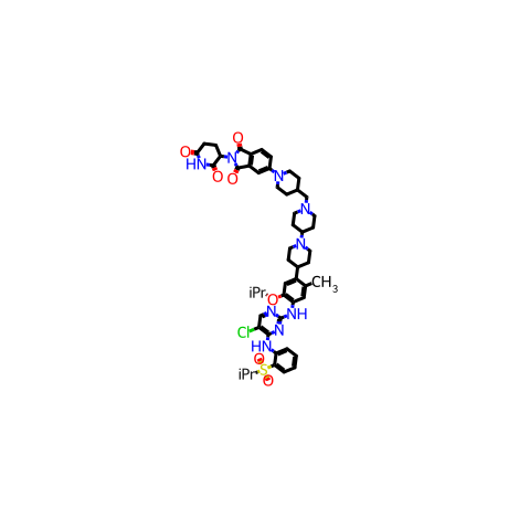 Cc1cc(Nc2ncc(Cl)c(Nc3ccccc3S(=O)(=O)C(C)C)n2)c(OC(C)C)cc1C1CCN(C2CCN(CC3CCN(c4ccc5c(c4)C(=O)N(C4CCC(=O)NC4=O)C5=O)CC3)CC2)CC1